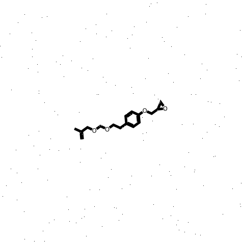 C=C(C)COCOCCc1ccc(OCC2CO2)cc1